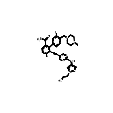 Cc1ccc(C(N)=O)c(-c2ccc(CN3CCN(C)CC3)c(F)c2)c1C#Cc1cnc(Nc2cnn(CCO)c2)nc1